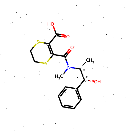 C[C@H]([C@H](O)c1ccccc1)N(C)C(=O)C1=C(C(=O)O)SCCS1